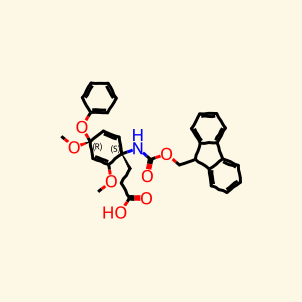 COC1=C[C@](OC)(Oc2ccccc2)C=C[C@]1(CCC(=O)O)NC(=O)OCC1c2ccccc2-c2ccccc21